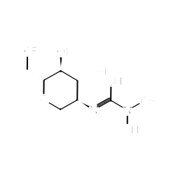 CN(C)/C(S)=N/[C@H]1CO[C@H](CC(F)(F)F)[C@@H](O)[C@@H]1O